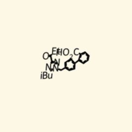 CCC(=O)c1nc(C(C)CC)n(Cc2ccc(-c3ccccc3C(=O)O)cc2)n1